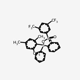 Cc1cc(C)c(S(OS(=O)(=O)c2cc(C(F)(F)F)cc(C(F)(F)F)c2)(c2ccccc2)c2ccccc2)c(C)c1